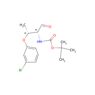 C[C@@H](Oc1cccc(Br)c1)[C@H](C=O)NC(=O)OC(C)(C)C